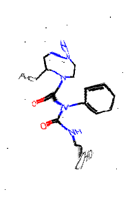 CC(=O)C1CNCCN1C(=O)N(C(=O)NC[C]=O)c1ccccc1